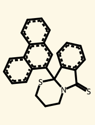 S=C1c2ccccc2C2(c3cc4ccccc4c4ccccc34)SCCCN12